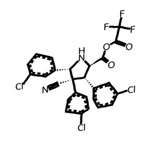 N#C[C@]1(c2ccc(Cl)cc2)[C@H](c2cccc(Cl)c2)N[C@@H](C(=O)OC(=O)C(F)(F)F)[C@@H]1c1cccc(Cl)c1